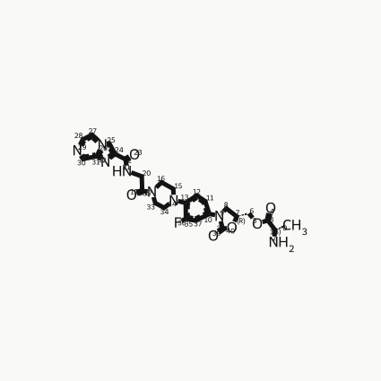 C[C@H](N)C(=O)OC[C@H]1CN(c2ccc(N3CCN(C(=O)CNC(=O)c4cn5ccncc5n4)CC3)c(F)c2)C(=O)O1